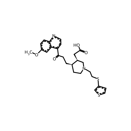 COc1ccc2nccc(C(=O)CC[C@@H]3CCN(CCSc4ccsc4)C[C@@H]3CC(=O)O)c2c1